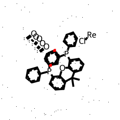 CC1(C)c2cccc(P(c3ccccc3)c3ccccc3)c2Oc2c(P(c3ccccc3)c3ccccc3)cccc21.[C]=O.[C]=O.[C]=O.[C]=O.[C]=O.[Cl][Re]